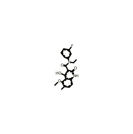 CCN(C(=O)c1c(O)c2c(OC)c(C)ccc2[nH]c1=O)c1cccc(F)c1